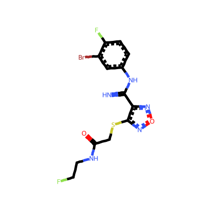 N=C(Nc1ccc(F)c(Br)c1)c1nonc1SCC(=O)NCCF